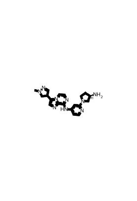 CN1CC(c2cnc3c(Nc4ccnc(N5CC[C@@H](N)C5)c4)nccn23)C=N1